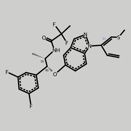 C=C/C(=C\SC)n1ncc2cc(O[C@H](c3cc(F)cc(F)c3)[C@H](C)NC(=O)C(C)(F)F)ccc21